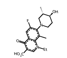 CCn1cc(C(=O)O)c(=O)c2cc(F)c(N3CC[C@H](O)[C@@H](C)C3)c(C)c21